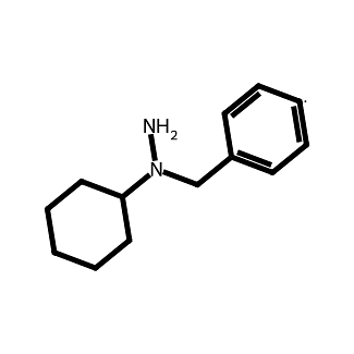 NN(Cc1cc[c]cc1)C1CCCCC1